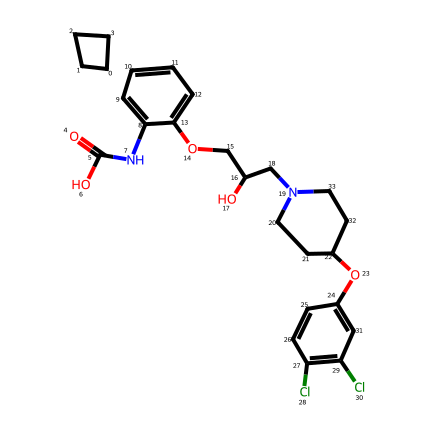 C1CCC1.O=C(O)Nc1ccccc1OCC(O)CN1CCC(Oc2ccc(Cl)c(Cl)c2)CC1